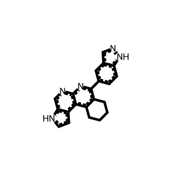 c1cc2c(cnc3nc(-c4ccc5[nH]ncc5c4)c4c(c32)CCCC4)[nH]1